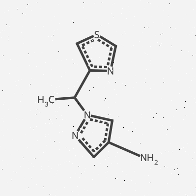 CC(c1cscn1)n1cc(N)cn1